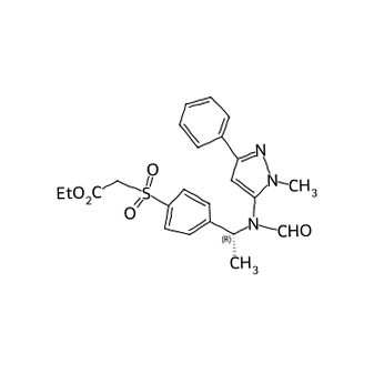 CCOC(=O)CS(=O)(=O)c1ccc([C@@H](C)N(C=O)c2cc(-c3ccccc3)nn2C)cc1